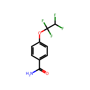 NC(=O)c1ccc(OC(F)(F)C(F)F)cc1